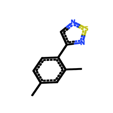 Cc1ccc(-c2cnsn2)c(C)c1